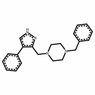 c1ccc(CN2CCN(Cc3n[nH]cc3-c3ccccc3)CC2)cc1